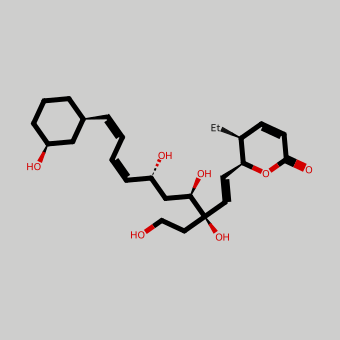 CC[C@H]1C=CC(=O)O[C@H]1/C=C/[C@](O)(CCO)[C@H](O)C[C@@H](O)/C=C\C=C/[C@@H]1CCC[C@H](O)C1